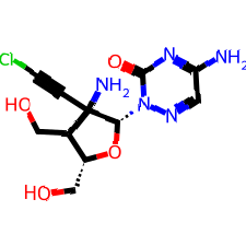 Nc1cnn([C@@H]2O[C@H](CO)C(CO)C2(N)C#CCl)c(=O)n1